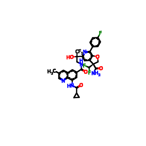 Cc1cnc2c(NC(=O)C3CC3)cc(C(=O)NCC(O)(c3cc4c(c(-c5ccc(F)cc5)n3)OC[C@@]4(C(N)=O)C(F)F)C(F)(F)F)cc2c1